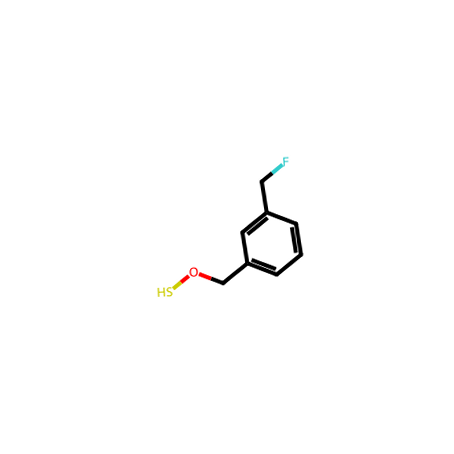 FCc1cccc(COS)c1